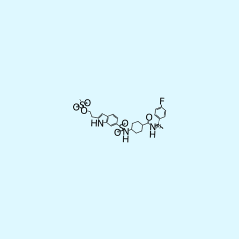 C[C@@H](NC(=O)C1CCC(NS(=O)(=O)c2ccc3cc(CCOS(C)(=O)=O)[nH]c3c2)CC1)c1ccc(F)cc1